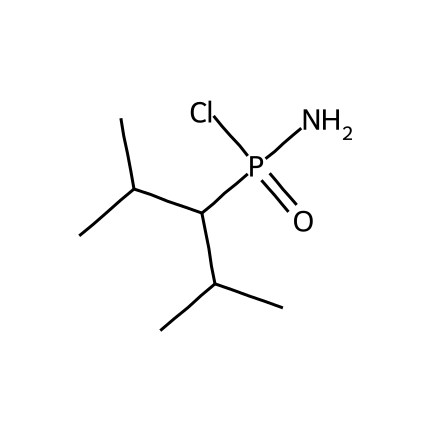 CC(C)C(C(C)C)P(N)(=O)Cl